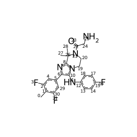 Cc1c(F)cc(-c2nc3n(c2Nc2ccc(F)cc2)CCN(C(=O)CN)C3(C)C)cc1F